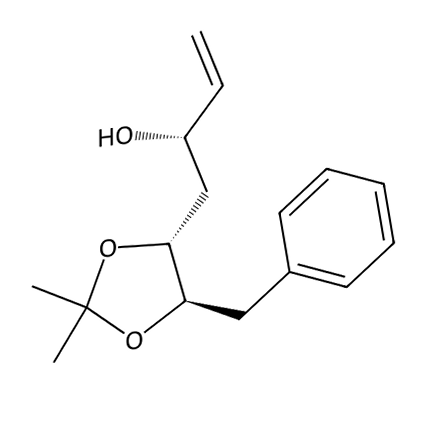 C=C[C@@H](O)C[C@H]1OC(C)(C)O[C@@H]1Cc1ccccc1